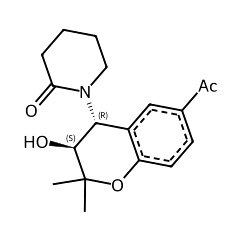 CC(=O)c1ccc2c(c1)[C@@H](N1CCCCC1=O)[C@H](O)C(C)(C)O2